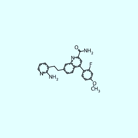 COc1ccc(-c2cc(C(N)=O)nc3cc(CCc4cccnc4N)ccc23)c(F)c1